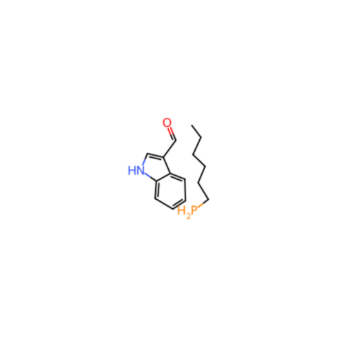 CCCCCCP.O=Cc1c[nH]c2ccccc12